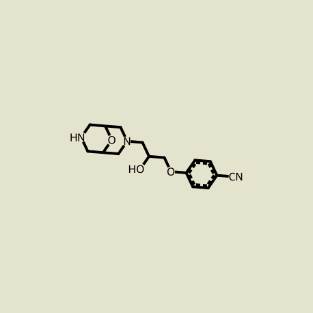 N#Cc1ccc(OCC(O)CN2CC3CNCC(C2)O3)cc1